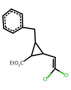 CCOC(=O)C1C(C=C(Cl)Cl)C1Cc1ccccc1